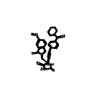 COc1ccc2c(c1)C(=O)N(C[C@@]1(C#Cc3ccc(C(=N)N4CCCCC4)cc3)NC(=O)NC1=O)C2